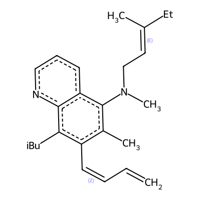 C=C/C=C\c1c(C)c(N(C)C/C=C(\C)CC)c2cccnc2c1C(C)CC